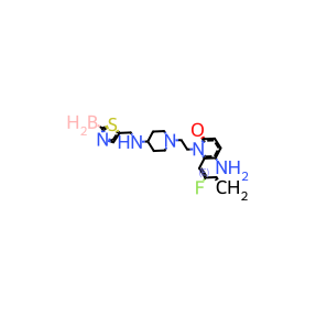 Bc1ncc(CNC2CCN(CCn3c(/C=C(/F)C=C)c(N)ccc3=O)CC2)s1